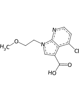 COCCn1cc(C(=O)O)c2c(Cl)ccnc21